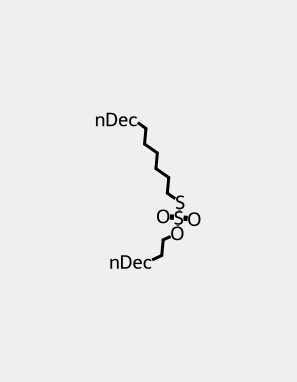 CCCCCCCCCCCCCCCCSS(=O)(=O)OCCCCCCCCCCCC